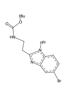 CCCn1c(CCNC(=O)OC(C)(C)C)nc2cc(Br)ccc21